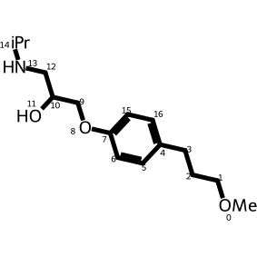 COCCCc1ccc(OCC(O)CNC(C)C)cc1